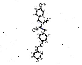 [C-]#[N+]C(=C\c1ccc(OC)cc1)/C(=C/c1ccc(OCc2ccccn2)cc1)[N+]#[C-]